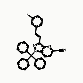 N#Cc1ccc2c(n1)c(C=Cc1cccc(F)c1)nn2C(c1ccccc1)(c1ccccc1)c1ccccc1